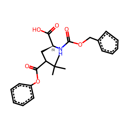 CC(C)(C)C(C[C@H](NC(=O)OCc1ccccc1)C(=O)O)C(=O)Oc1ccccc1